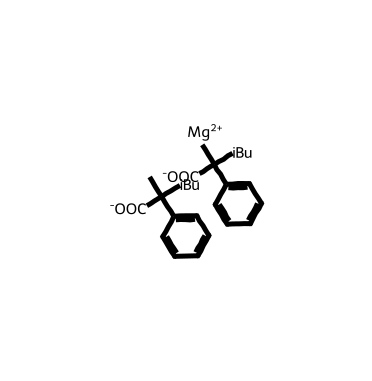 CCC(C)C(C)(C(=O)[O-])c1ccccc1.CCC(C)C(C)(C(=O)[O-])c1ccccc1.[Mg+2]